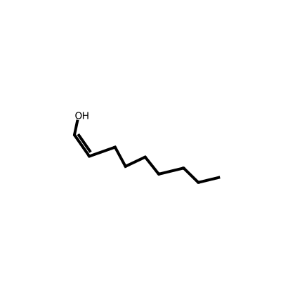 CCCCCCC/C=C\O